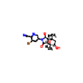 CC12C[C@@H](O)C(C)(O1)[C@H]1C(=O)N(c3cnc(C#N)c(Br)c3)C(=O)[C@H]12